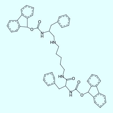 O=C(NC(CNCCCCCNC(=O)C(Cc1ccccc1)NC(=O)OC1c2ccccc2-c2ccccc21)Cc1ccccc1)OC1c2ccccc2-c2ccccc21